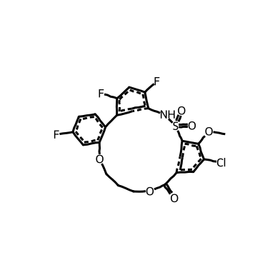 COc1c(Cl)cc2cc1S(=O)(=O)Nc1cc(c(F)cc1F)-c1ccc(F)cc1OCCCOC2=O